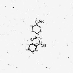 CCCCCCCCCCC1CCC(C(=O)OC(CC)c2ccccc2)CC1